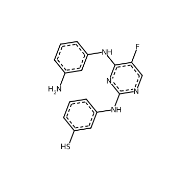 Nc1cccc(Nc2nc(Nc3cccc(S)c3)ncc2F)c1